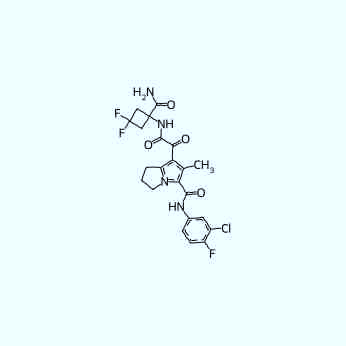 Cc1c(C(=O)C(=O)NC2(C(N)=O)CC(F)(F)C2)c2n(c1C(=O)Nc1ccc(F)c(Cl)c1)CCC2